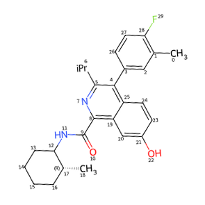 Cc1cc(-c2c(C(C)C)nc(C(=O)NC3CCCC[C@H]3C)c3cc(O)ccc23)ccc1F